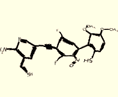 COc1ccc(S)c(-c2cc(F)c(C#Cc3cnc(N)c(C=N)c3)c(F)c2N=O)c1OC